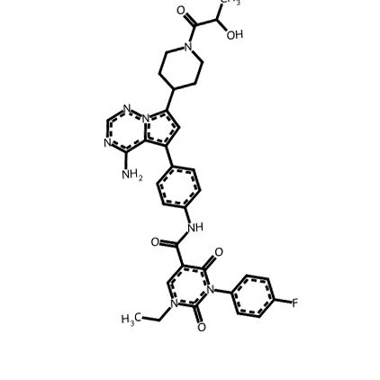 CCn1cc(C(=O)Nc2ccc(-c3cc(C4CCN(C(=O)C(C)O)CC4)n4ncnc(N)c34)cc2)c(=O)n(-c2ccc(F)cc2)c1=O